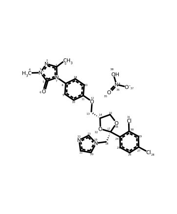 Cc1nn(C)c(=O)n1-c1ccc(OC[C@@H]2CO[C@@](Cn3ccnc3)(c3ccc(Cl)cc3Cl)O2)cc1.O=[N+]([O-])O